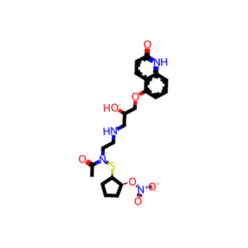 CC(=O)N(CCNCC(O)COc1cccc2[nH]c(=O)ccc12)S[C@@H]1CCC[C@H]1O[N+](=O)[O-]